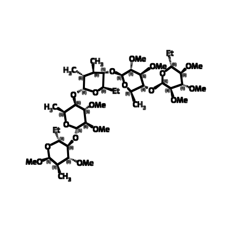 CC[C@H]1O[C@H](O[C@H]2[C@H](OC)[C@@H](OC)[C@H](O[C@H]3[C@H](OC)[C@@H](C)[C@@H](OC)O[C@@H]3CC)O[C@H]2C)[C@H](C)[C@@H](C)[C@@H]1O[C@@H]1O[C@H](C)[C@@H](O[C@H]2O[C@H](CC)[C@@H](OC)[C@H](OC)[C@H]2OC)[C@H](OC)[C@H]1OC